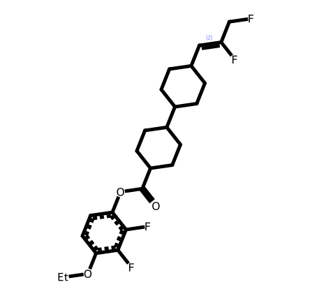 CCOc1ccc(OC(=O)C2CCC(C3CCC(/C=C(\F)CF)CC3)CC2)c(F)c1F